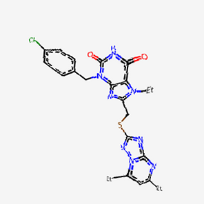 CCc1cc(CC)n2nc(SCc3nc4c(c(=O)[nH]c(=O)n4Cc4ccc(Cl)cc4)n3CC)nc2n1